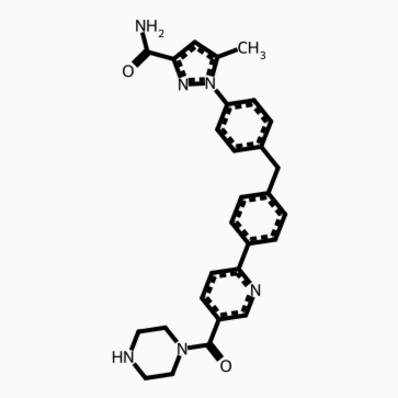 Cc1cc(C(N)=O)nn1-c1ccc(Cc2ccc(-c3ccc(C(=O)N4CCNCC4)cn3)cc2)cc1